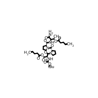 C=CCCC(=O)O[C@H](C)C(NC(=O)[C@@H]1CCCN1C(=O)[C@@H]1CCCN1C(=O)[C@@H](NC(=O)OC(C)(C)C)[C@@H](C)OC(=O)CCC=C)C(N)=O